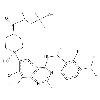 Cc1nc(N[C@H](C)c2cccc(C(F)F)c2F)c2cc([C@]3(O)CC[C@H](C(=O)N(C)CC(C)(C)O)CC3)c3c(c2n1)CCO3